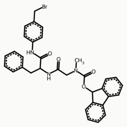 CN(CC(=O)NC(Cc1ccccc1)C(=O)Nc1ccc(CBr)cc1)C(=O)OC1c2ccccc2-c2ccccc21